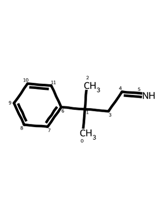 CC(C)(CC=N)c1ccccc1